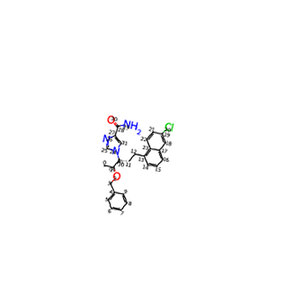 C[C@H](OCc1ccccc1)[C@@H](CCc1cccc2cc(Cl)ccc12)n1cnc(C(N)=O)c1